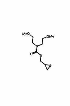 COCCN(CCOC)C(=O)SCC1CS1